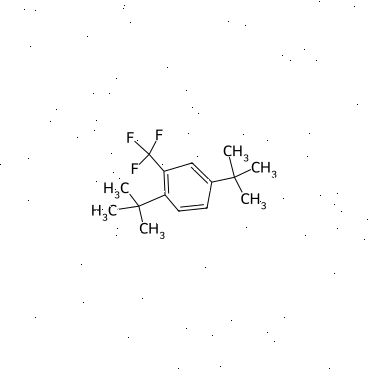 CC(C)(C)c1ccc(C(C)(C)C)c(C(F)(F)F)c1